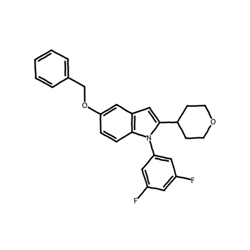 Fc1cc(F)cc(-n2c(C3CCOCC3)cc3cc(OCc4ccccc4)ccc32)c1